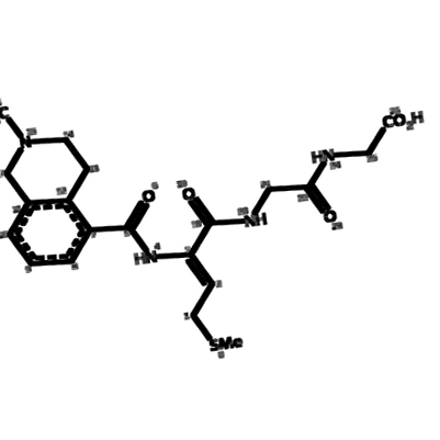 CSC/C=C(\NC(=O)c1cccc2c1CCN(C)C2)C(=O)NCC(=O)NCC(=O)O